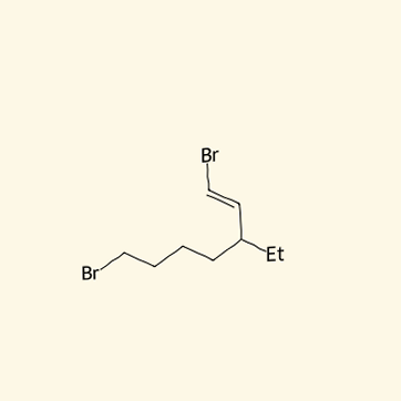 CCC(C=CBr)CCCCBr